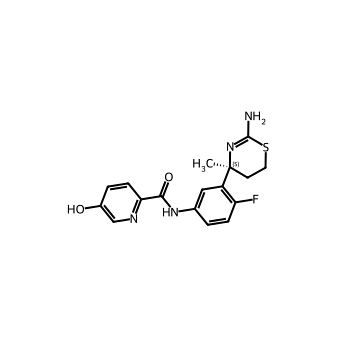 C[C@@]1(c2cc(NC(=O)c3ccc(O)cn3)ccc2F)CCSC(N)=N1